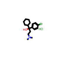 CN(C)CCC(O)(c1ccc(Br)cc1)C1CCCCC1.Cl